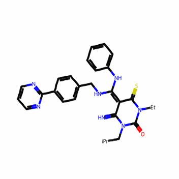 CCN1C(=O)N(CC(C)C)C(=N)/C(=C(\NCc2ccc(-c3ncccn3)cc2)Nc2ccccc2)C1=S